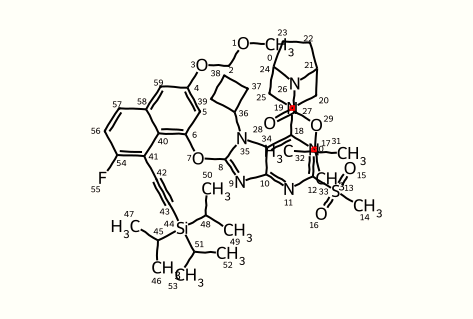 COCOc1cc(Oc2nc3nc(S(C)(=O)=O)nc(N4CC5CCC(C4)N5C(=O)OC(C)(C)C)c3n2C2CCC2)c2c(C#C[Si](C(C)C)(C(C)C)C(C)C)c(F)ccc2c1